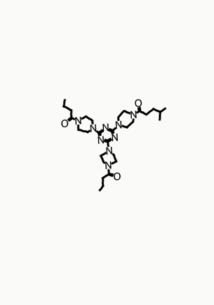 CCCC(=O)N1CCN(c2nc(N3CCN(C(=O)CCC)CC3)nc(N3CCN(C(=O)CCC(C)C)CC3)n2)CC1